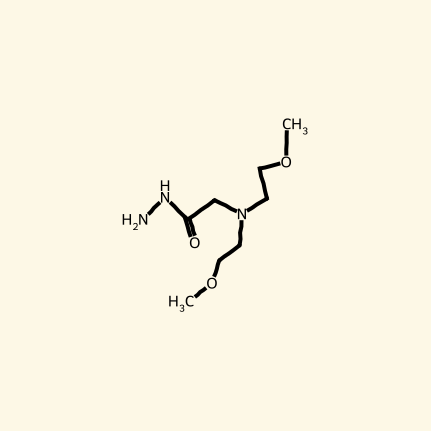 COCCN(CCOC)CC(=O)NN